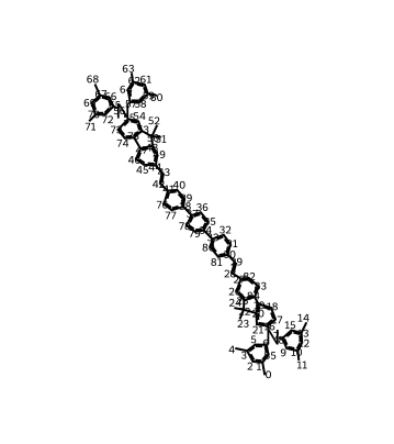 Cc1cc(C)cc(N(c2cc(C)cc(C)c2)c2ccc3c(c2)C(C)(C)c2cc(/C=C/c4ccc(-c5ccc(-c6ccc(/C=C/c7ccc8c(c7)C(C)(C)c7cc(N(c9cc(C)cc(C)c9)c9cc(C)cc(C)c9)ccc7-8)cc6)cc5)cc4)ccc2-3)c1